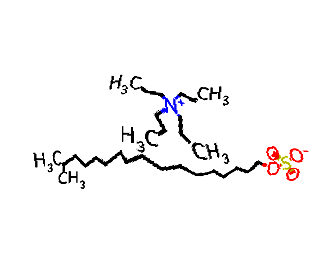 CC(C)CCCCCCCCCCCCCCCOS(=O)(=O)[O-].CCC[N+](CCC)(CCC)CCC